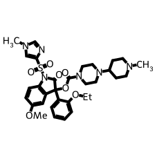 CCOc1ccccc1C1(OC(=O)N2CCN(C3CCN(C)CC3)CC2)C(=O)N(S(=O)(=O)c2cn(C)cn2)c2ccc(OC)cc21